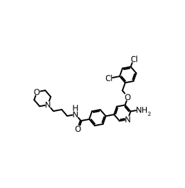 Nc1ncc(-c2ccc(C(=O)NCCCN3CCOCC3)cc2)cc1OCc1ccc(Cl)cc1Cl